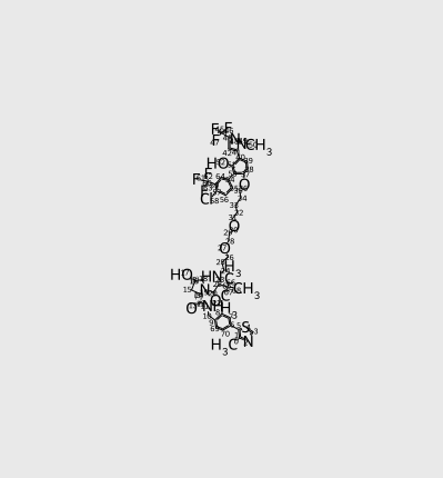 Cc1ncsc1-c1ccc(CNC(=O)[C@@H]2C[C@@H](O)CN2C(=O)C(NCCCOCCOCCCCCOc2ccc(-c3cc(C(F)(F)F)nn3C)c(O)c2-c2ccc(Cl)c(C(F)(F)F)c2)C(C)(C)C)cc1